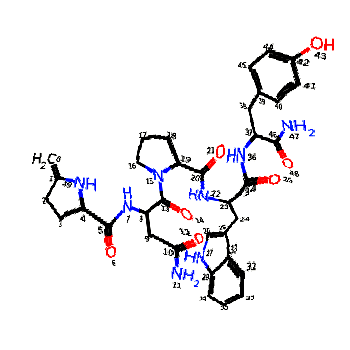 C=C1CCC(C(=O)NC(CC(N)=O)C(=O)N2CCCC2C(=O)NC(Cc2c[nH]c3ccccc23)C(=O)NC(Cc2ccc(O)cc2)C(N)=O)N1